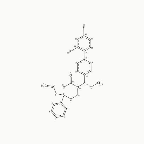 C=CCC1(c2ccccc2)CCN([C@@H](CC)c2ccc(-c3ccc(F)cc3F)cc2)C(=O)O1